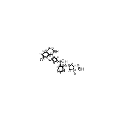 Cc1sc(C(=O)c2cncnc2N[C@@H]2C[C@H](CO)[C@@H](C)C2)cc1[C@@H]1NCCc2ccc(Cl)cc21